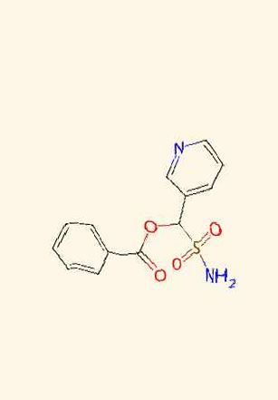 NS(=O)(=O)C(OC(=O)c1ccccc1)c1cccnc1